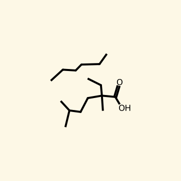 CCC(C)(CCC(C)C)C(=O)O.CCCCCC